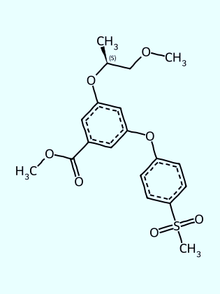 COC[C@H](C)Oc1cc(Oc2ccc(S(C)(=O)=O)cc2)cc(C(=O)OC)c1